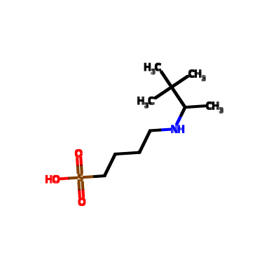 CC(NCCCCS(=O)(=O)O)C(C)(C)C